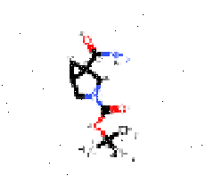 CC(C)(C)OC(=O)N1CC2CC2(C(N)=O)C1